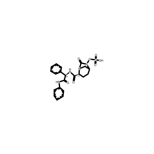 O=C(Nc1ccccc1)[C@H](NC(=O)[C@@H]1CCC2CN1C(=O)N2OS(=O)(=O)O)c1ccccc1